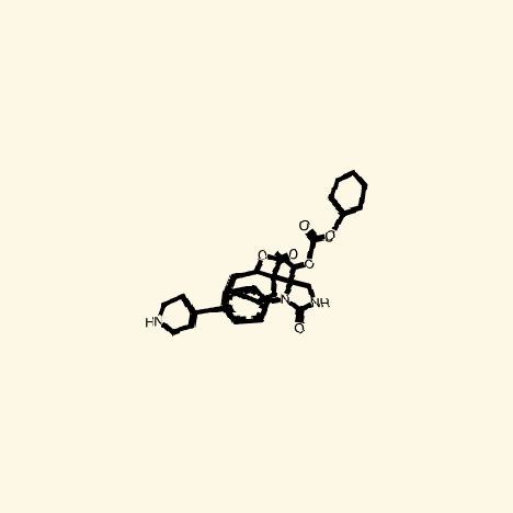 CC(OC(=O)OC1CCCCC1)C1(C23CCCCC2OC3=O)CNC(=O)N1c1ccc(C2CCNCC2)cc1